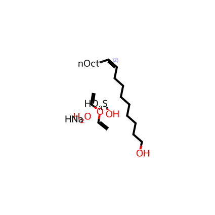 C=COC=C.CCCCCCCC/C=C\CCCCCCCCO.O.O=S(=O)(O)O.[NaH]